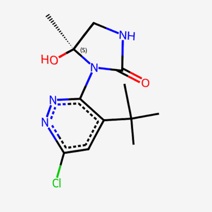 CC(C)(C)c1cc(Cl)nnc1N1C(=O)NC[C@]1(C)O